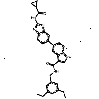 CCc1cc(CNC(=O)c2c[nH]c3ccc(-c4ccc5nc(NC(=O)C6CC6)sc5c4)cc23)cc(OC)c1